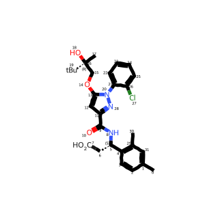 Cc1ccc([C@H](CC(=O)O)NC(=O)c2cc(OC[C@](C)(O)C(C)(C)C)n(-c3ccccc3Cl)n2)c(C)c1